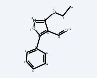 CCOc1noc(-c2ccccc2)c1C=O